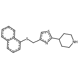 c1ccc2c(SCc3csc(C4CCNCC4)n3)cccc2c1